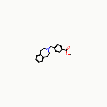 COC(=O)c1ccc(CN2CCc3ccccc3CC2)cc1